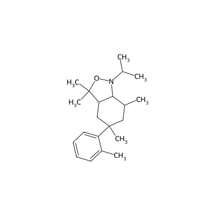 Cc1ccccc1C1(C)CC(C)C2C(C1)C(C)(C)ON2C(C)C